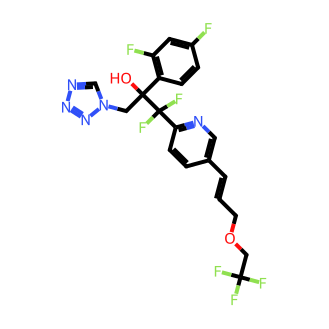 OC(Cn1cnnn1)(c1ccc(F)cc1F)C(F)(F)c1ccc(C=CCOCC(F)(F)F)cn1